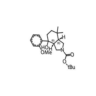 COc1ccccc1C1(O)CCC(C)(C)[C@@H]2CN(C(=O)OC(C)(C)C)C[C@@H]21